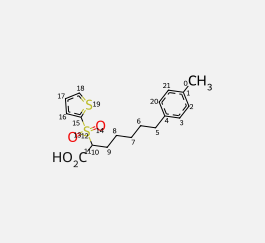 Cc1ccc(CCCCCC(C(=O)O)S(=O)(=O)c2cccs2)cc1